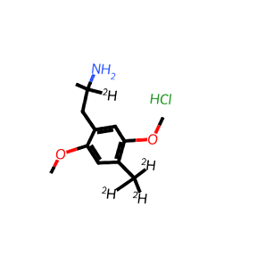 Cl.[2H]C(C)(N)Cc1cc(OC)c(C([2H])([2H])[2H])cc1OC